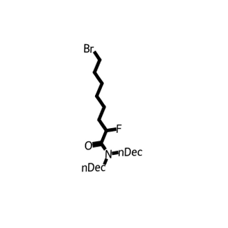 CCCCCCCCCCN(CCCCCCCCCC)C(=O)C(F)CCCCCCBr